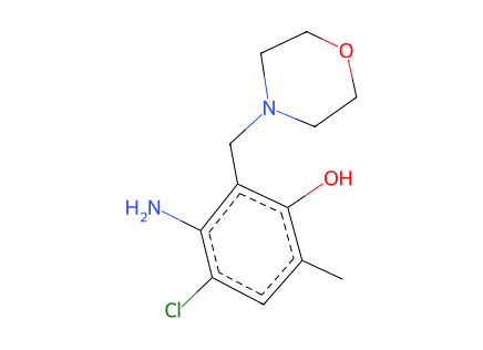 Cc1cc(Cl)c(N)c(CN2CCOCC2)c1O